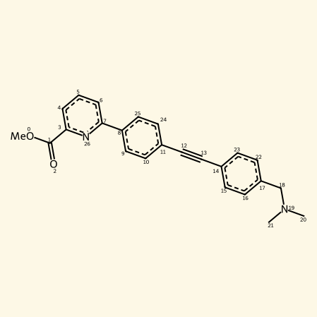 COC(=O)c1cccc(-c2ccc(C#Cc3ccc(CN(C)C)cc3)cc2)n1